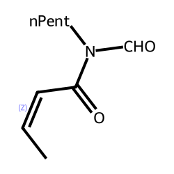 C/C=C\C(=O)N(C=O)CCCCC